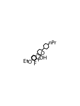 CCCC1CCC(C2CC[C@@H](c3ccc(OCC)c(F)c3F)[C@H](O)O2)CC1